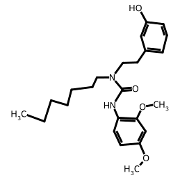 CCCCCCCN(CCc1cccc(O)c1)C(=O)Nc1ccc(OC)cc1OC